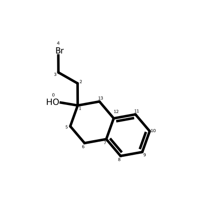 OC1(CCBr)CCc2ccccc2C1